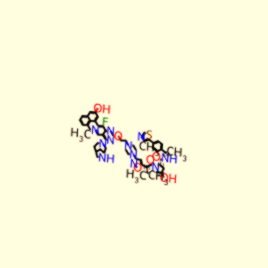 CCc1cccc2cc(O)cc(-c3ncc4c(N5CCC6CNC(C6)C5)nc(OCCN5CCN(c6cc([C@@H](C(=O)N7C[C@H](O)C[C@H]7C(=O)N[C@@H](C)c7ccc(-c8scnc8C)cc7)C(C)C)on6)CC5)nc4c3F)c12